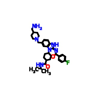 CC(C)NC(=O)C1CCC(n2/c(=N\C(=O)c3ccc(F)cc3)[nH]c3ccc(CN4CCC(CN)CC4)cc32)CC1